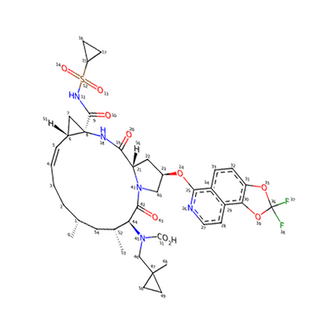 C[C@@H]1CCC=C[C@@H]2C[C@@]2(C(=O)NS(=O)(=O)C2CC2)NC(=O)[C@@H]2C[C@@H](Oc3nccc4c5c(ccc34)OC(F)(F)O5)CN2C(=O)[C@@H](N(CC2(C)CC2)C(=O)O)[C@H](C)C1